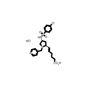 Cl.O=C(O)CCCC=C[C@@H]1C[C@@H](NS(=O)(=O)c2ccc(Cl)cc2)CN1Cc1ccncc1